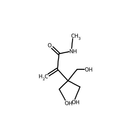 C=C(C(=O)NC)C(CO)(CO)CO